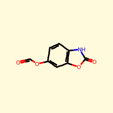 O=COc1ccc2[nH]c(=O)oc2c1